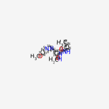 COc1ccc(CN2CCN(Cc3ccc(OC)c(NC(=O)Nc4cccc(C)c4)c3)CC2)cc1